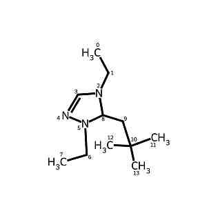 CCN1C=NN(CC)C1CC(C)(C)C